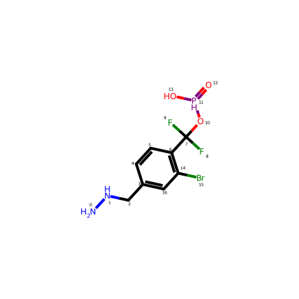 NNCc1ccc(C(F)(F)O[PH](=O)O)c(Br)c1